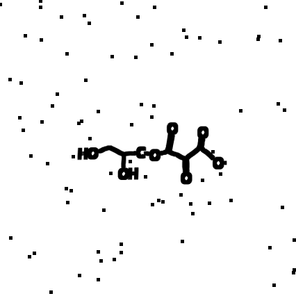 [O]C(=O)C(=O)C(=O)OCC(O)CO